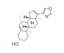 C[C@H]1C=C2C[C@@H](O)CC[C@]2(C)[C@H]2CC[C@]3(C)C(c4cocn4)=CC[C@H]3[C@H]12